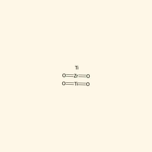 [O]=[Ti]=[O].[O]=[Zr]=[O].[Ti]